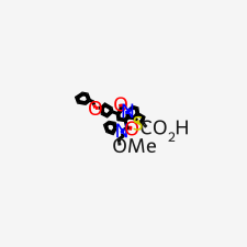 COCCN(C(=O)c1cc(-c2ccc(OCc3ccccc3)cc2)c(=O)n2ccc3cc(C(=O)O)sc3c12)c1ccccc1